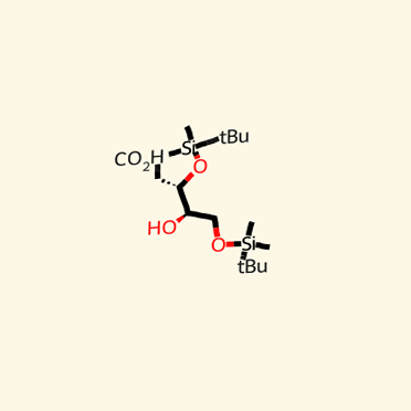 CC(C)(C)[Si](C)(C)OC[C@@H](O)[C@H](CC(=O)O)O[Si](C)(C)C(C)(C)C